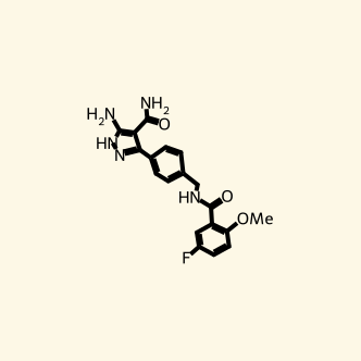 COc1ccc(F)cc1C(=O)NCc1ccc(-c2n[nH]c(N)c2C(N)=O)cc1